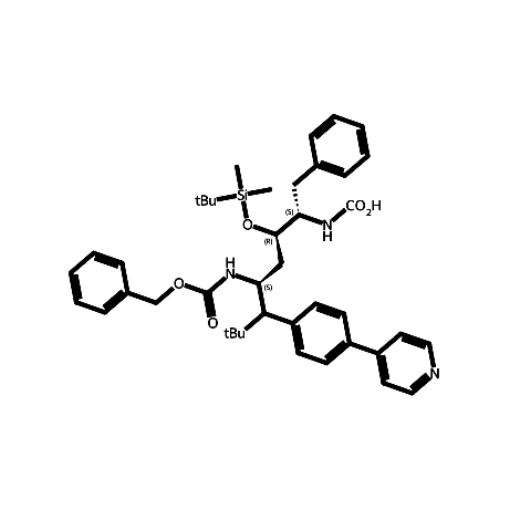 CC(C)(C)C(c1ccc(-c2ccncc2)cc1)[C@H](C[C@@H](O[Si](C)(C)C(C)(C)C)[C@H](Cc1ccccc1)NC(=O)O)NC(=O)OCc1ccccc1